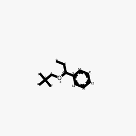 CCC(OCC(C)(C)C)c1ccccc1